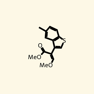 COC=C(C(=O)OC)c1csc2ccc(C)cc12